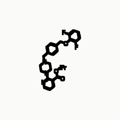 CC(C)OC(=O)c1cccnc1N1CCN(Cc2ccc(COc3c(F)cccc3F)cc2)CC1